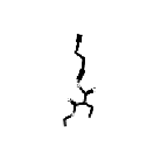 C#CCCC#COC(=O)C(CC)C(=O)OCC